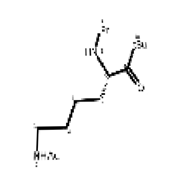 CC(=O)NCCCC[C@H](NC(C)C)C(=O)C(C)(C)C